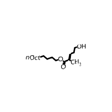 CCCCCCCCCCCCOC(=O)C(C)=CCCO